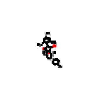 CC(=O)c1ccc([C@@H]2C[C@@H]3O[C@H]2[C@H]2C(O)=C(c4c(C)cc(C)cc4C)C(=O)[C@H]23)cc1